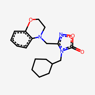 O=c1onc(CN2CCOc3ccccc32)n1CC1CCCCC1